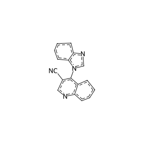 N#Cc1cnc2ccccc2c1-n1cnc2ccccc21